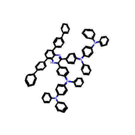 c1ccc(-c2ccc(-c3ccc(-c4ccc(-c5ccccc5)cc4)c4c3N=C(c3ccc(N(c5ccccc5)c5ccc(N(c6ccccc6)c6ccccc6)cc5)cc3)C(c3ccc(N(c5ccccc5)c5ccc(N(c6ccccc6)c6ccccc6)cc5)cc3)N4)cc2)cc1